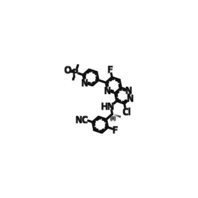 C[C@@H](Nc1c(Cl)nnc2cc(F)c(-c3ccc(P(C)(C)=O)nc3)nc12)c1cc(C#N)ccc1F